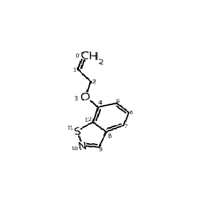 C=CCOc1cccc2cnsc12